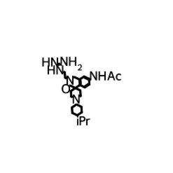 CC(=O)Nc1ccc2c(c1)CN(CCNC(=N)N)C(=O)C21CCN(C2CCC(C(C)C)CC2)CC1